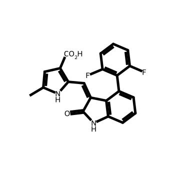 Cc1cc(C(=O)O)c(/C=C2\C(=O)Nc3cccc(-c4c(F)cccc4F)c32)[nH]1